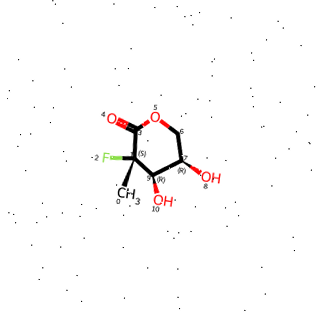 C[C@@]1(F)C(=O)OC[C@@H](O)[C@H]1O